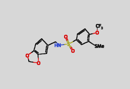 CSc1cc(S(=O)(=O)NCc2ccc3c(c2)OCO3)ccc1OC(F)(F)F